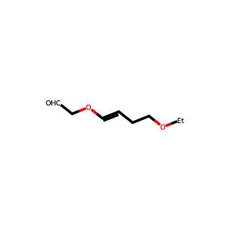 CCOCCC=COCC=O